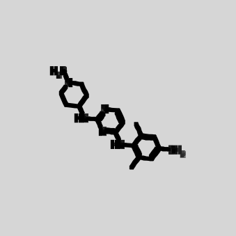 Bc1cc(C)c(Nc2ccnc(NC3CCN(B)CC3)n2)c(C)c1